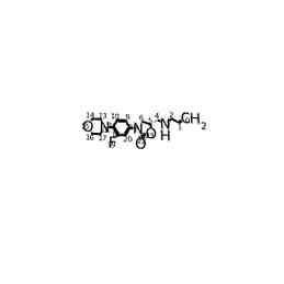 C=CCNC[C@H]1CN(c2ccc(N3CCOCC3)c(F)c2)C(=O)O1